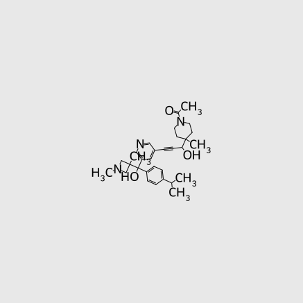 CC(=O)N1CCC(C)(C(O)C#Cc2cncc(C(O)(c3ccc(C(C)C)cc3)C3(C)CN(C)C3)c2)CC1